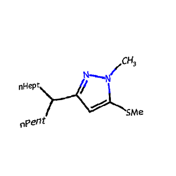 CCCCCCCC(CCCCC)c1cc(SC)n(C)n1